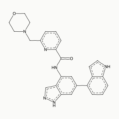 O=C(Nc1cc(-c2cccc3[nH]ccc23)cc2[nH]ncc12)c1cccc(CN2CCOCC2)n1